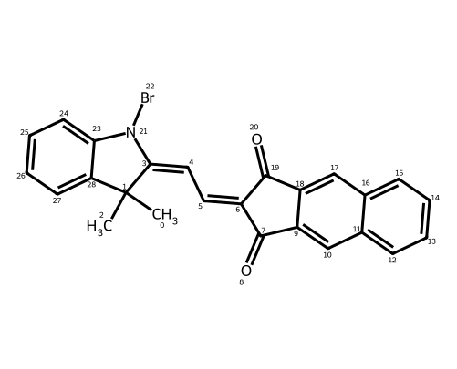 CC1(C)/C(=C\C=C2C(=O)c3cc4ccccc4cc3C2=O)N(Br)c2ccccc21